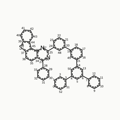 c1ccc(-c2cc(-c3ccccc3)cc(-c3cccc(-c4cccc(-c5nc(-c6ccccc6)c6ccc7sc8ccccc8c7c6n5)c4)c3)c2)cc1